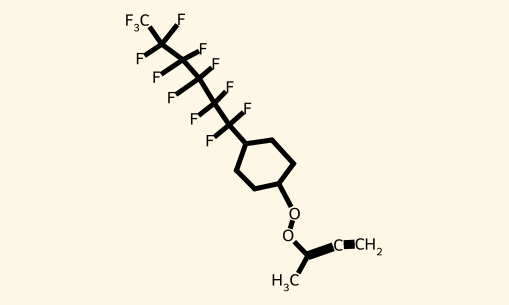 C=C=C(C)OOC1CCC(C(F)(F)C(F)(F)C(F)(F)C(F)(F)C(F)(F)C(F)(F)F)CC1